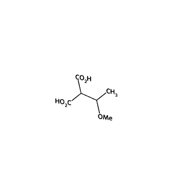 COC(C)C(C(=O)O)C(=O)O